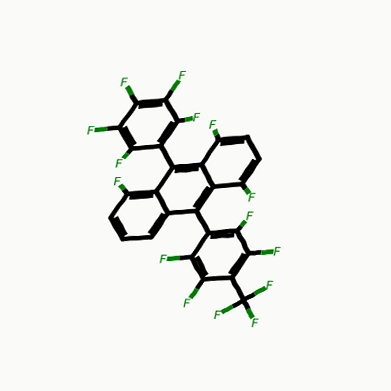 Fc1c(F)c(F)c(-c2c3c(F)cccc3c(-c3c(F)c(F)c(C(F)(F)F)c(F)c3F)c3c(F)ccc(F)c23)c(F)c1F